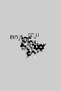 CCOC(=O)N1CCN(C(=O)[C@H](CCC(=O)O)NC(=O)c2cc(O[C@H](C)C(=O)N3CCC[C@H]3C(=O)NCC3CC3)c3ccc(C)cc3n2)CC1